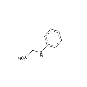 O=C(O)CNc1c[c]ccc1